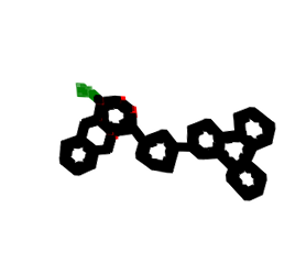 Brc1ccc(-c2cccc(-c3ccc4c5ccccc5c5ccccc5c4c3)c2)c2c1C1c3ccccc3C2c2ccccc21